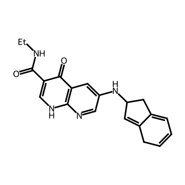 CCNC(=O)c1c[nH]c2ncc(NC3C=C4CC=CC=C4C3)cc2c1=O